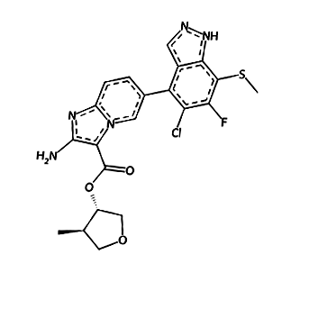 CSc1c(F)c(Cl)c(-c2ccc3nc(N)c(C(=O)O[C@@H]4COC[C@H]4C)n3c2)c2cn[nH]c12